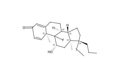 CCC[C@]1(SC)CC[C@H]2[C@@H]3CCC4=CC(=O)C=C[C@]4(C)C3(F)[C@@H](O)C[C@@]21C